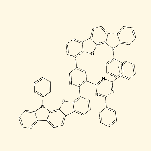 c1ccc(-c2nc(-c3ccccc3)nc(-c3cc(-c4cccc5c4oc4c5ccc5c6ccccc6n(-c6ccccc6)c54)cnc3-c3cccc4c3oc3c4ccc4c5ccccc5n(-c5ccccc5)c43)n2)cc1